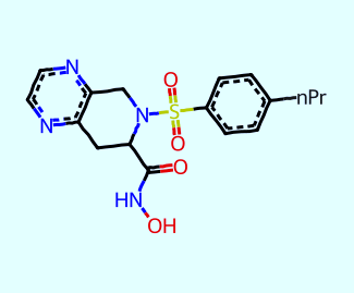 CCCc1ccc(S(=O)(=O)N2Cc3nccnc3CC2C(=O)NO)cc1